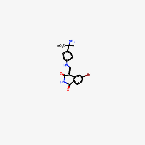 CC(N)(C(=O)O)c1ccc(N/C=C2\C(=O)NC(=O)c3ccc(Br)cc32)cc1